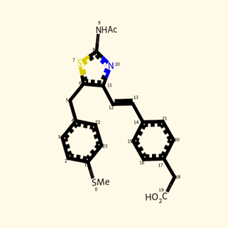 CSc1ccc(Cc2sc(NC(C)=O)nc2C=Cc2ccc(CC(=O)O)cc2)cc1